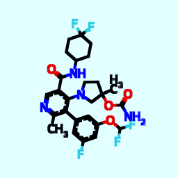 Cc1ncc(C(=O)NC2CCC(F)(F)CC2)c(N2CCC(C)(OC(N)=O)C2)c1-c1cc(F)cc(OC(F)F)c1